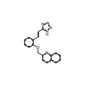 C(=Cc1ccccc1OCc1ccc2ccccc2n1)c1nnn[nH]1